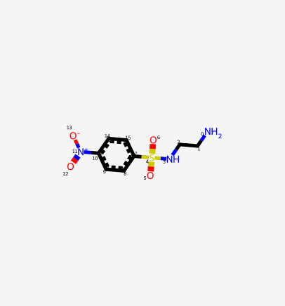 NCCNS(=O)(=O)c1ccc([N+](=O)[O-])cc1